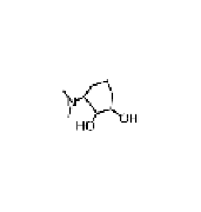 CN(C)C1CCCC(O)C1O